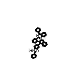 c1ccc(-c2nc(-c3ccccc3-c3ccc4ccccc4c3-c3ccc4c(c3)OC(c3ccccc3)N4)nc3ccccc23)cc1